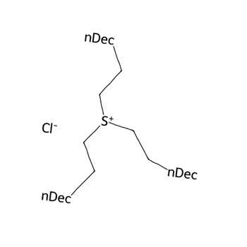 CCCCCCCCCCCC[S+](CCCCCCCCCCCC)CCCCCCCCCCCC.[Cl-]